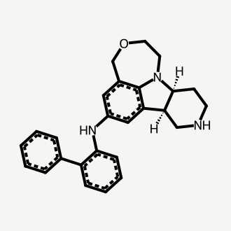 c1ccc(-c2ccccc2Nc2cc3c4c(c2)[C@@H]2CNCC[C@@H]2N4CCOC3)cc1